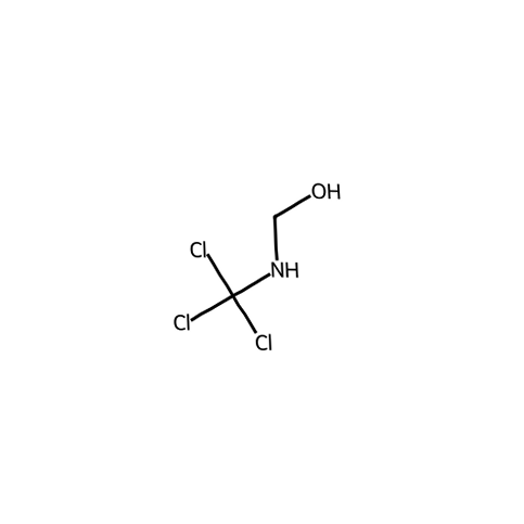 OCNC(Cl)(Cl)Cl